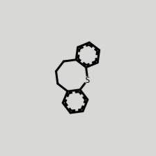 c1ccc2c(c1)CCCc1ccccc1S2